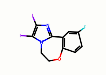 Fc1ccc2c(c1)-c1nc(I)c(I)n1CCO2